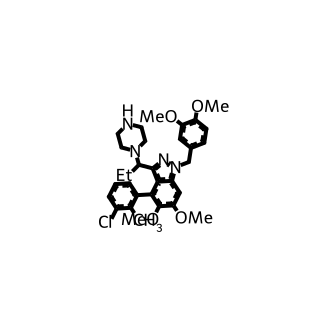 CCC(c1nn(Cc2ccc(OC)c(OC)c2)c2cc(OC)c(OC)c(-c3cccc(Cl)c3C)c12)N1CCNCC1